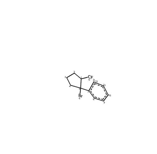 FC(F)(F)C1CCCC1(Br)c1ccccc1